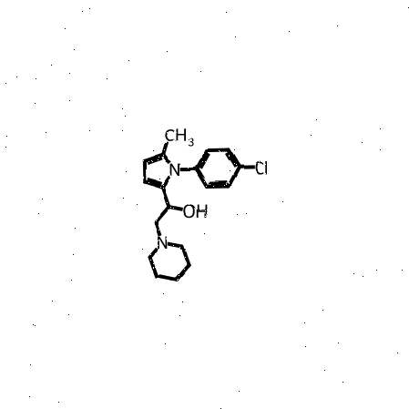 Cc1ccc(C(O)CN2CCCCC2)n1-c1ccc(Cl)cc1